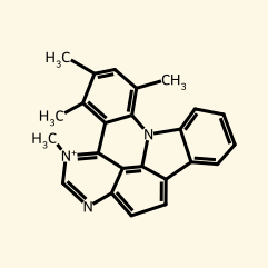 Cc1cc(C)c2c(c1C)c1c3c(ccc4c5ccccc5n2c43)nc[n+]1C